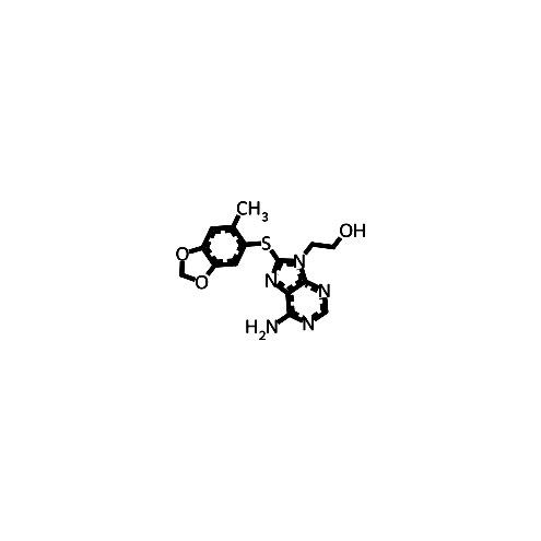 Cc1cc2c(cc1Sc1nc3c(N)ncnc3n1CCO)OCO2